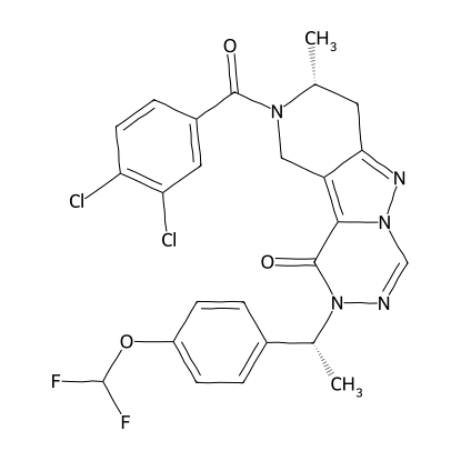 C[C@@H]1Cc2nn3cnn([C@H](C)c4ccc(OC(F)F)cc4)c(=O)c3c2CN1C(=O)c1ccc(Cl)c(Cl)c1